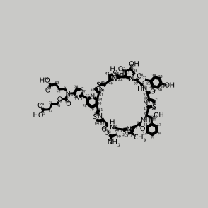 Cc1sc2nc1C(=O)N[C@@H]([C@H](O)c1ccccc1)c1nc(cs1)C(=O)N[C@@H](Cc1ccc(O)cc1)C(=O)N1C[C@H](O)[C@H](C)[C@H]1c1nc(cs1)-c1nc(cs1)-c1nc(-c3nc(N(CCCC(=O)O)C(=O)OCCCC(=O)O)cs3)ccc1-c1nc(cs1)C(=O)N[C@H]2CC(N)=O